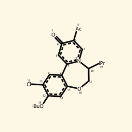 CC(=O)c1cn2c(cc1=O)-c1cc(Cl)c(OCC(C)C)cc1OCC2C(C)C